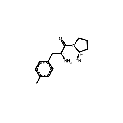 N#C[C@@H]1CCCN1C(=O)[C@@H](N)Cc1ccc(I)cc1